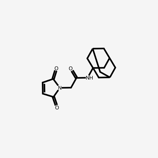 O=C(CN1C(=O)C=CC1=O)NC12CC3CC(CC(C3)C1)C2